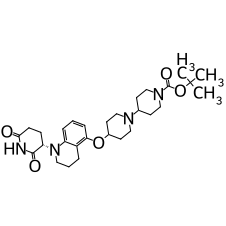 CC(C)(C)OC(=O)N1CCC(N2CCC(Oc3cccc4c3CCCN4[C@H]3CCC(=O)NC3=O)CC2)CC1